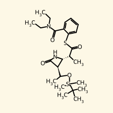 CCN(CC)C(=O)c1ccccc1SC(=O)C(C)[C@H]1NC(=O)[C@@H]1C(C)O[Si](C)(C)C(C)(C)C